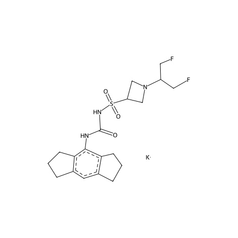 O=C(Nc1c2c(cc3c1CCC3)CCC2)NS(=O)(=O)C1CN(C(CF)CF)C1.[K]